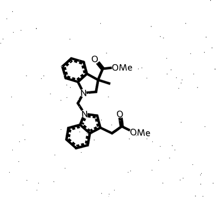 COC(=O)Cc1cn(CN2CC(C)(C(=O)OC)c3ccccc32)c2ccccc12